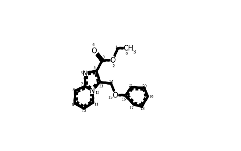 CCOC(=O)c1nc2ccccn2c1COc1ccccc1